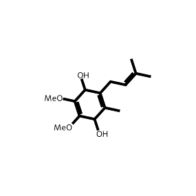 COC1=C(OC)C(O)C(CC=C(C)C)=C(C)C1O